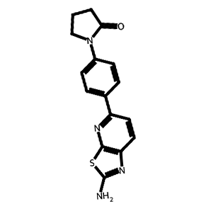 Nc1nc2ccc(-c3ccc(N4CCCC4=O)cc3)nc2s1